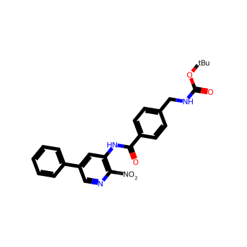 CC(C)(C)OC(=O)NCc1ccc(C(=O)Nc2cc(-c3ccccc3)cnc2[N+](=O)[O-])cc1